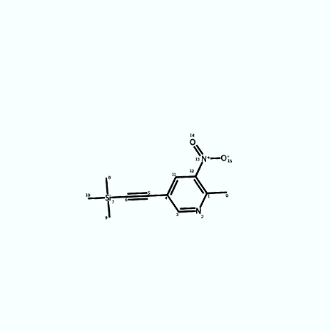 Cc1ncc(C#C[Si](C)(C)C)cc1[N+](=O)[O-]